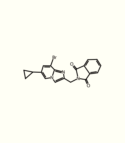 O=C1c2ccccc2C(=O)N1Cc1cn2cc(C3CC3)cc(Br)c2n1